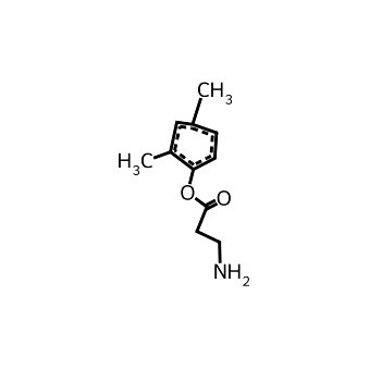 Cc1ccc(OC(=O)CCN)c(C)c1